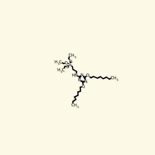 CCCCCCCCOc1nc(NCCC[Si](OCC)(OCC)OCC)nc(OCCCCCCCC)n1